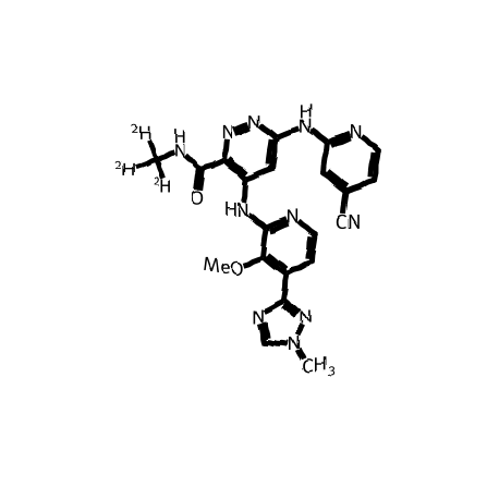 [2H]C([2H])([2H])NC(=O)c1nnc(Nc2cc(C#N)ccn2)cc1Nc1nccc(-c2ncn(C)n2)c1OC